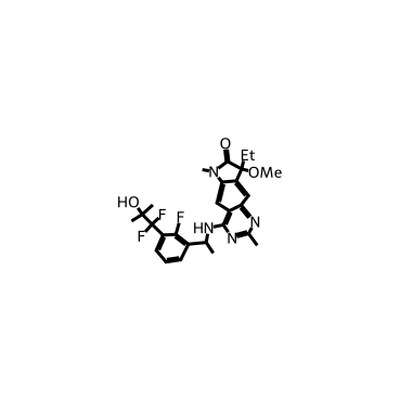 CCC1(OC)C(=O)N(C)c2cc3c(NC(C)c4cccc(C(F)(F)C(C)(C)O)c4F)nc(C)nc3cc21